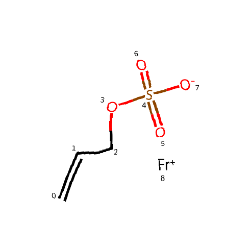 C=CCOS(=O)(=O)[O-].[Fr+]